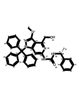 COc1nn(C(c2ccccc2)(c2ccccc2)c2ccccc2)c2cc(NC(=O)N[C@H](C)c3ccccc3)nc(CO)c12